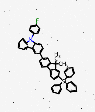 CC1(C)c2cc(-c3ccc4c(c3)c3ccccc3n4-c3ccc(F)cc3)ccc2-c2ccc([Si](c3ccccc3)(c3ccccc3)c3ccccc3)cc21